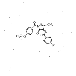 COc1ccc(C(=O)N2N=C(C)C(=NNc3ccc(Br)cc3)C2=O)cc1